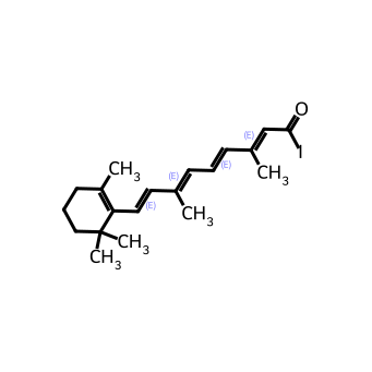 CC1=C(/C=C/C(C)=C/C=C/C(C)=C/C(=O)I)C(C)(C)CCC1